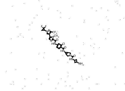 Cn1c(-c2cn(C3CC3(F)F)nc2C(F)(F)F)cnc1C(=O)Nc1ccc(C(=O)NC2C3CN(C(=O)NC4CC(N)C4)CC32)c(Cl)c1